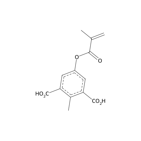 C=C(C)C(=O)Oc1cc(C(=O)O)c(C)c(C(=O)O)c1